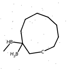 BC1(BC)CCCCCCCCC1